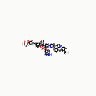 C#Cc1ccc(CN2CCN(C3CC4(CCN(c5ccc(C(=O)NS(=O)(=O)c6ccc(NC[C@H]7CC[C@](C)(O)CC7)c([N+](=O)[O-])c6)c(Oc6cnc7[nH]ccc7c6)c5)CC4)C3)C(c3ccccc3C(C)C)C2)cc1